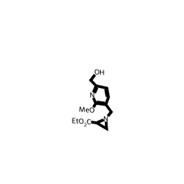 CCOC(=O)C1CN1Cc1ccc(CO)nc1OC